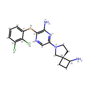 Nc1nc(N2CC[C@@]3(CCC3N)C2)cnc1Sc1cccc(Cl)c1Cl